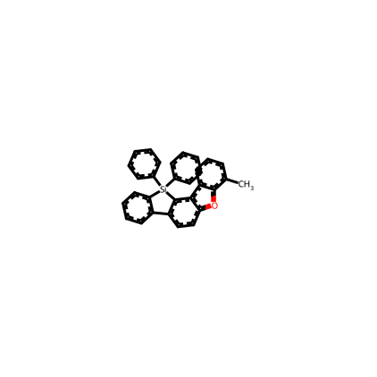 Cc1cccc2c1oc1ccc3c(c12)[Si](c1ccccc1)(c1ccccc1)c1ccccc1-3